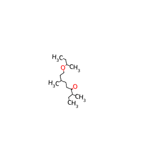 CCC(C)OCCC(C)CCC(=O)C(C)CC